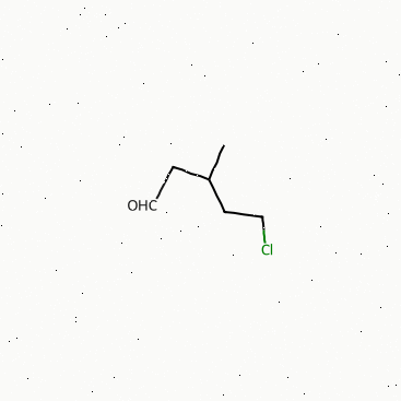 CC(CC=O)CCCl